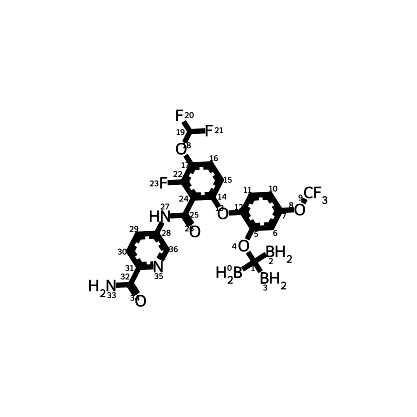 BC(B)(B)Oc1cc(OC(F)(F)F)ccc1Oc1ccc(OC(F)F)c(F)c1C(=O)Nc1ccc(C(N)=O)nc1